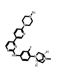 CC(=O)N1CCN(c2ccc(-c3ccnc(Nc4ccc(N5C[C@@H]6C[C@H]5CN6C)c(F)c4)n3)cn2)CC1